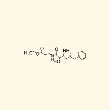 CCOC(=O)CCNC(=O)C(O)[C@@H](N)CSCc1ccccc1